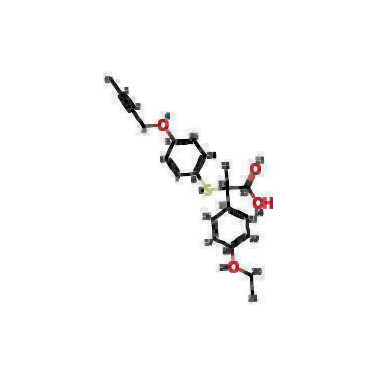 CC#CCOc1ccc(SC(C)(C(=O)O)c2ccc(OCC)cc2)cc1